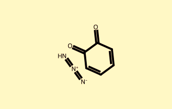 O=C1C=CC=CC1=O.[N-]=[N+]=N